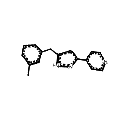 Cc1cccc(Cc2cc(-c3ccncc3)n[nH]2)c1